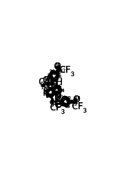 O=C(O)CN(c1ncc(N(CC(F)(F)F)S(=O)(=O)c2ccc(C(=O)C(F)(F)F)cc2)c2ccccc12)S(=O)(=O)c1ccc(C(=O)C(F)(F)F)cc1